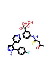 CC(=O)CC(=S)Nc1cccc([As](=O)(O)OO)c1.Fc1ccc(-c2[nH]ncc2-c2ccncc2)cc1